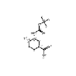 CC(C)(C)OC(=O)N[C@@H]1CN(C(=O)O)CC[C@@H]1F